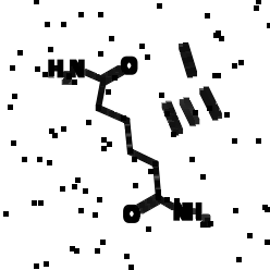 C=C.C=C.C=C.C=C.NC(=O)CCCCC(N)=O